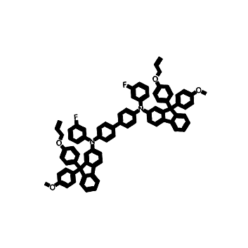 C=CCOc1ccc(C2(c3ccc(OC)cc3)c3ccccc3-c3ccc(N(c4ccc(-c5ccc(N(c6cccc(F)c6)c6ccc7c(c6)C(c6ccc(OC)cc6)(c6ccc(OCC=C)cc6)c6ccccc6-7)cc5)cc4)c4cccc(F)c4)cc32)cc1